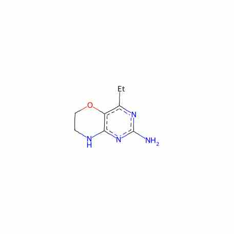 CCc1nc(N)nc2c1OCCN2